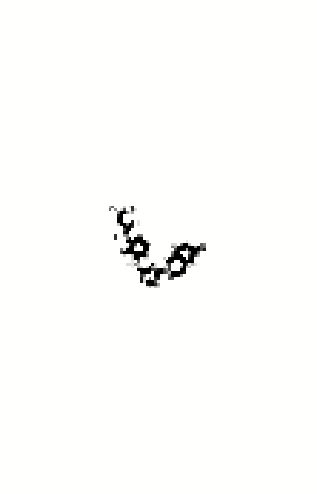 Cc1c(NC(=O)C[C@H](C)O)cccc1Nc1ncnc(N2CCc3cc(Br)ccc3C2)n1